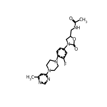 CC(=O)NCC1CN(c2ccc(N3CCN(c4cc(C)ncn4)CC3)c(F)c2)C(=O)O1